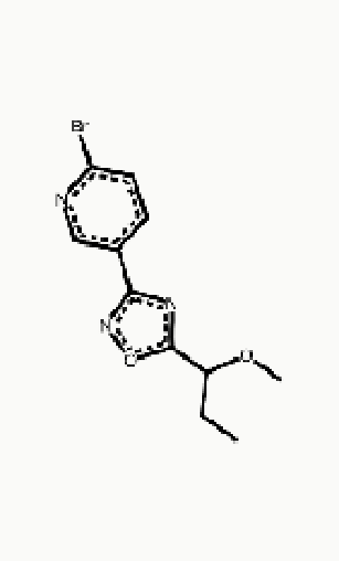 CCC(OC)c1nc(-c2ccc(Br)nc2)no1